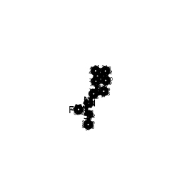 Fc1ccc(N(c2cnc(-c3ccc4c(c3)c3ccccc3n4-c3ccc4c(c3)C(c3ccccc3)(c3ccccc3)c3ccccc3-4)nc2)c2ccc(-c3ccccc3)s2)cc1